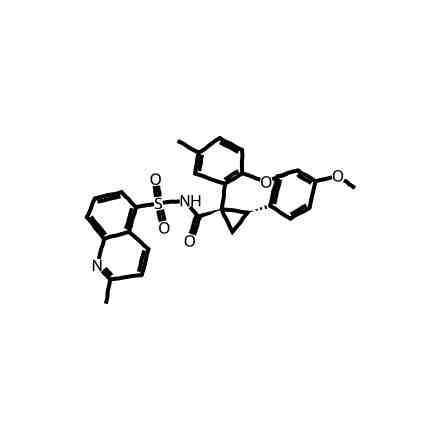 COc1ccc([C@@H]2C[C@]2(C(=O)NS(=O)(=O)c2cccc3nc(C)ccc23)c2cc(C)ccc2OC)cc1